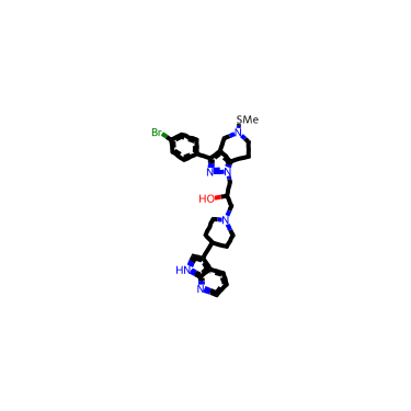 CSN1CCc2c(c(-c3ccc(Br)cc3)nn2CC(O)CN2CCC(c3c[nH]c4ncccc34)CC2)C1